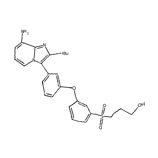 CC(C)(C)c1nc2c(N)cccn2c1-c1cccc(Oc2cccc(S(=O)(=O)CCCO)c2)c1